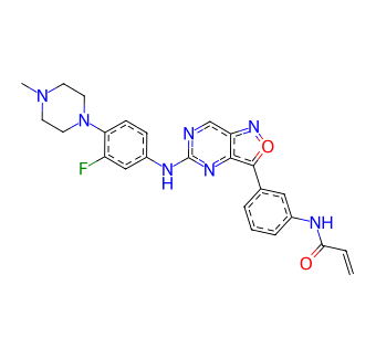 C=CC(=O)Nc1cccc(-c2onc3cnc(Nc4ccc(N5CCN(C)CC5)c(F)c4)nc23)c1